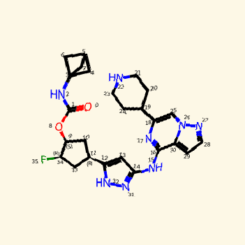 O=C(NC12CC(C1)C2)O[C@H]1C[C@@H](c2cc(Nc3nc(C4CCNCC4)cn4nccc34)n[nH]2)C[C@H]1F